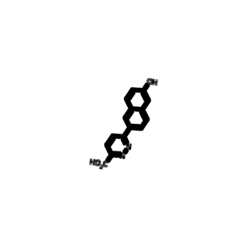 O=C(O)c1ccc(-c2ccc3cc(O)ccc3c2)nn1